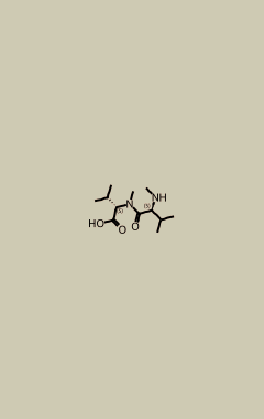 CN[C@H](C(=O)N(C)[C@H](C(=O)O)C(C)C)C(C)C